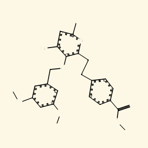 COC(=O)c1ccc(CCc2nc(Br)cc(Br)c2OCc2cc(OC)cc(OC)c2)cc1